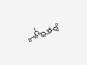 COc1cncc(-c2cn(Cc3ccc(N4C[C@@H](F)C[C@@H](NCC5CCC5)C4)nn3)nn2)c1